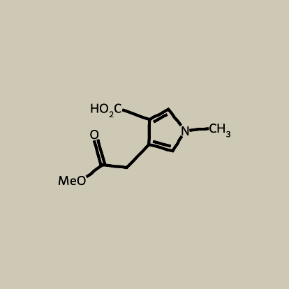 COC(=O)Cc1cn(C)cc1C(=O)O